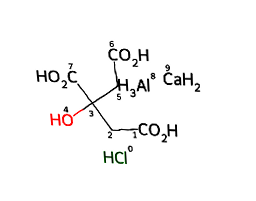 Cl.O=C(O)CC(O)(CC(=O)O)C(=O)O.[AlH3].[CaH2]